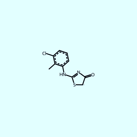 Cc1c(Cl)cccc1NC1=NC(=O)[CH]S1